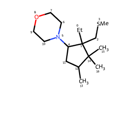 CCC1(CSC)C(N2CCOCC2)CC(C)C1(C)C